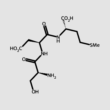 CSCC[C@H](NC(=O)[C@H](CC(=O)O)NC(=O)[C@@H](N)CO)C(=O)O